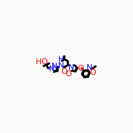 Cc1nc2c(OC3=CC(=O)N(C(CC(C)C)C(=O)Nc4ccn(CC(C)(C)O)n4)C3)cccc2o1